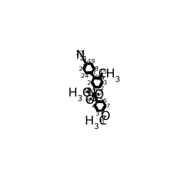 COc1ccc(S(=O)(=O)N(C)c2ccc(C)c(-c3ccc(C#N)cc3)c2)cc1